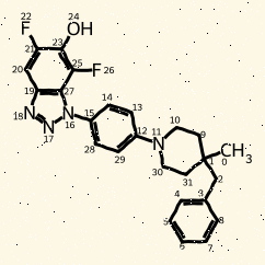 CC1(Cc2ccccc2)CCN(c2ccc(-n3nnc4cc(F)c(O)c(F)c43)cc2)CC1